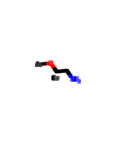 CC(=O)OCCN.[Cu]